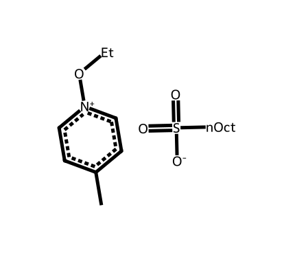 CCCCCCCCS(=O)(=O)[O-].CCO[n+]1ccc(C)cc1